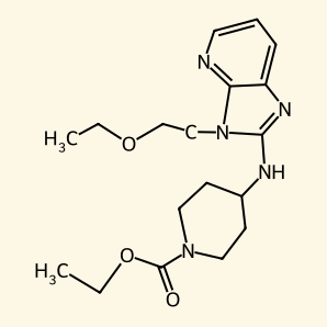 CCOCCn1c(NC2CCN(C(=O)OCC)CC2)nc2cccnc21